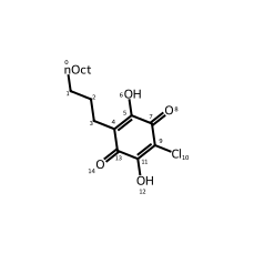 CCCCCCCCCCCC1=C(O)C(=O)C(Cl)=C(O)C1=O